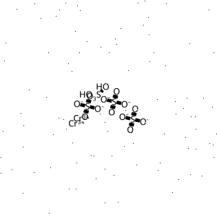 O=S(=O)(O)O.O=S(=O)([O-])[O-].O=S(=O)([O-])[O-].O=S(=O)([O-])[O-].[Cr+3].[Cr+3]